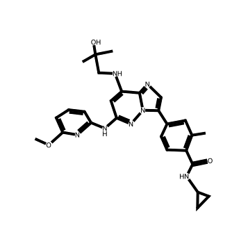 COc1cccc(Nc2cc(NCC(C)(C)O)c3ncc(-c4ccc(C(=O)NC5CC5)c(C)c4)n3n2)n1